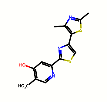 Cc1nc(C)c(-c2csc(-c3cc(O)c(C(=O)O)cn3)n2)s1